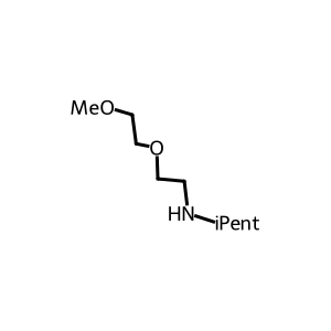 CCCC(C)NCCOCCOC